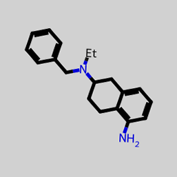 CCN(Cc1ccccc1)C1CCc2c(N)cccc2C1